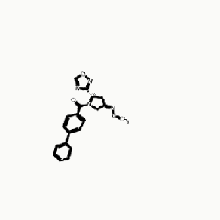 CON=C1C[C@@H](c2ncon2)N(C(=O)c2ccc(-c3ccccc3)cc2)C1